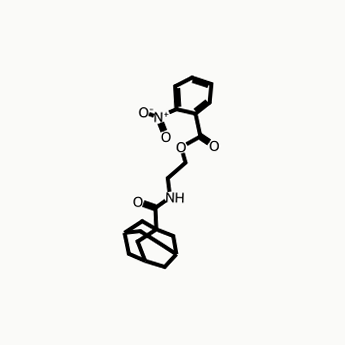 O=C(OCCNC(=O)C12CC3CC(CC(C3)C1)C2)c1ccccc1[N+](=O)[O-]